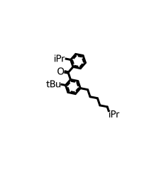 CC(C)CCCCCc1ccc(C(C)(C)C)c(C(=O)c2ccccc2C(C)C)c1